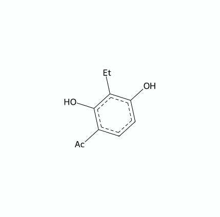 CCc1c(O)ccc(C(C)=O)c1O